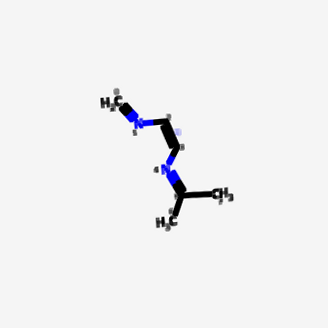 C=N/C=C\N=C(C)C